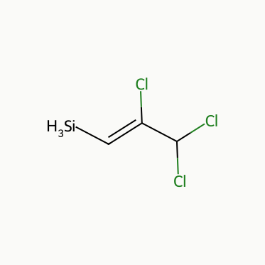 [SiH3]C=C(Cl)C(Cl)Cl